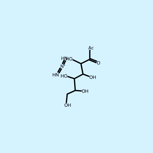 CC(=O)C(=O)C(O)C(O)C(O)C(O)CO.N=[N+]=N